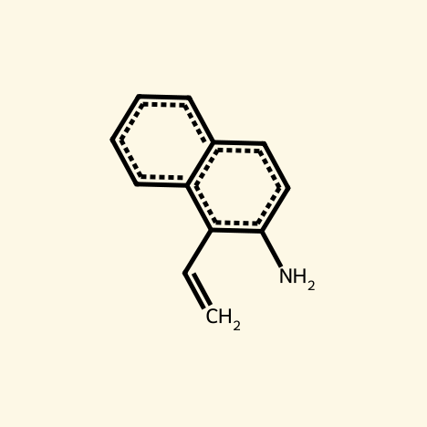 C=Cc1c(N)ccc2ccccc12